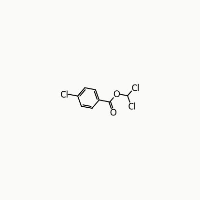 O=C(OC(Cl)Cl)c1ccc(Cl)cc1